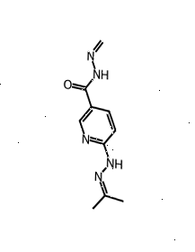 C=NNC(=O)c1ccc(NN=C(C)C)nc1